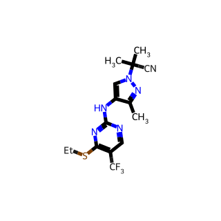 CCSc1nc(Nc2cn(C(C)(C)C#N)nc2C)ncc1C(F)(F)F